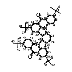 CC(C)(C)c1ccc2c(c1)c(=O)c1cc(C(C)(C)C)cc3c4c(ccc5c6cc(C(C)(C)C)cc7c(=O)c8cc(C(C)(C)C)ccc8n(c76)c54)n2c13